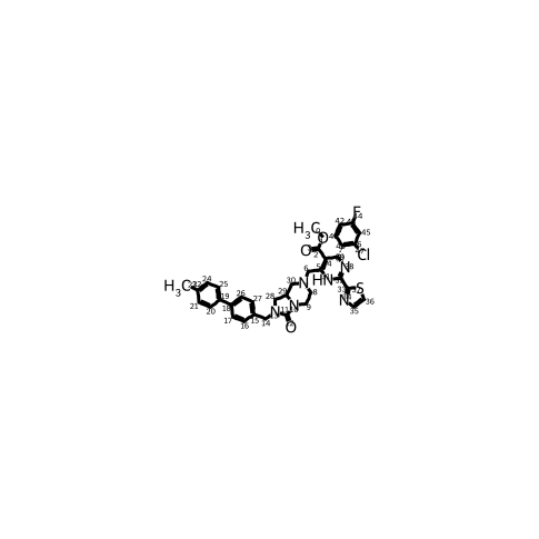 COC(=O)C1=C(CN2CCN3C(=O)N(Cc4ccc(-c5ccc(C)cc5)cc4)CC3C2)NC(c2nccs2)=N[C@H]1c1ccc(F)cc1Cl